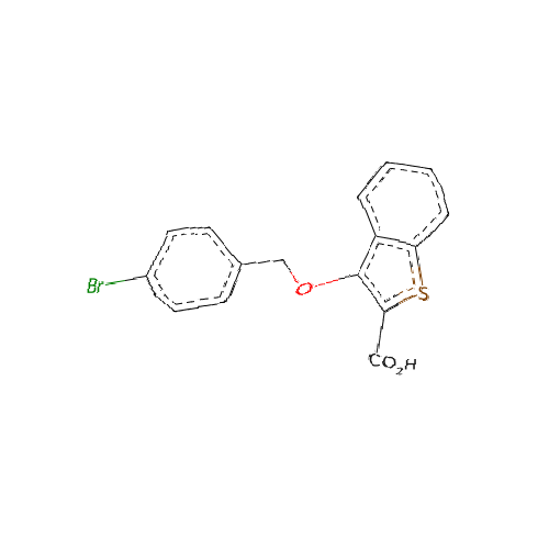 O=C(O)c1sc2ccccc2c1OCc1ccc(Br)cc1